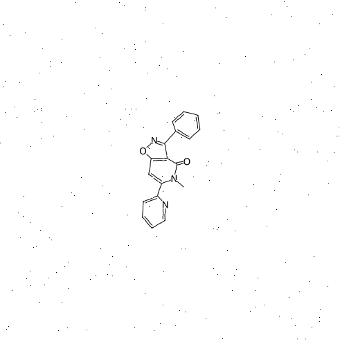 Cn1c(-c2ccccn2)cc2onc(-c3ccccc3)c2c1=O